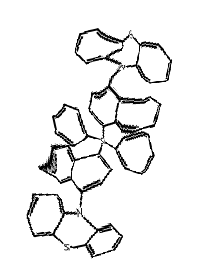 c1ccc([Si](c2ccccc2)(c2ccc(N3c4ccccc4Sc4ccccc43)c3ccccc23)c2ccc(N3c4ccccc4Sc4ccccc43)c3ccccc23)cc1